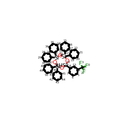 FC(F)(F)c1cccc([SiH]2O[Si](c3ccccc3)(c3ccccc3)O[Si](c3ccccc3)(c3ccccc3)O[Si](c3ccccc3)(c3ccccc3)O2)c1